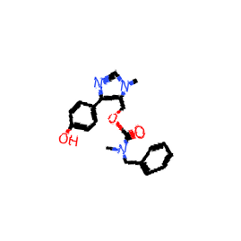 CN(Cc1ccccc1)C(=O)OCc1c(-c2ccc(O)cc2)ncn1C